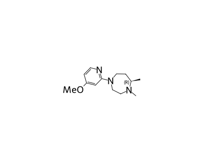 COc1ccnc(N2CC[C@@H](C)N(C)CC2)c1